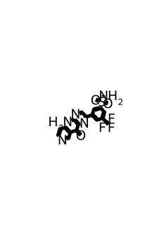 Nc1ncc(-c2cc(C(F)(F)F)cc(S(N)(=O)=O)c2)nc1C(=O)c1cccnc1